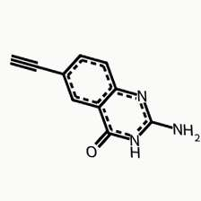 C#Cc1ccc2nc(N)[nH]c(=O)c2c1